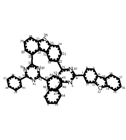 c1ccc(-c2nc(-c3ccc4c(c3)oc3ccccc34)nc(-c3ccc4sc5cccc(-c6nc(-c7ccccc7)nc(-c7ccccc7)n6)c5c4c3)n2)cc1